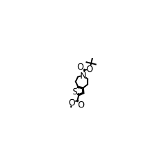 COC(=O)c1cc2c(s1)CCN(C(=O)OC(C)(C)C)CC2